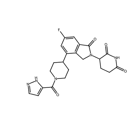 O=C1CCC(N2Cc3c(cc(F)cc3C3CCN(C(=O)c4ccn[nH]4)CC3)C2=O)C(=O)N1